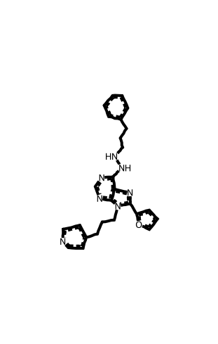 c1ccc(CCCNNc2ncnc3c2nc(-c2ccco2)n3CCCc2ccncc2)cc1